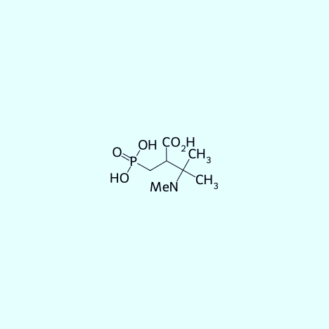 CNC(C)(C)C(CP(=O)(O)O)C(=O)O